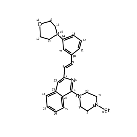 CCN1CCN(c2nc(/C=C/c3cccc(N4CCOCC4)c3)cc3ccccc23)CC1